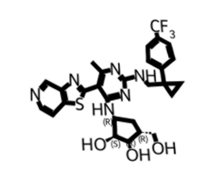 Cc1nc(NCC2(c3ccc(C(F)(F)F)cc3)CC2)nc(N[C@@H]2C[C@H](CO)[C@@H](O)[C@H]2O)c1-c1nc2cnccc2s1